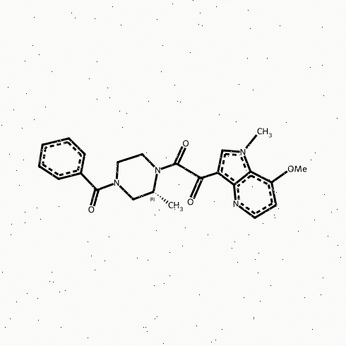 COc1ccnc2c(C(=O)C(=O)N3CCN(C(=O)c4ccccc4)C[C@H]3C)cn(C)c12